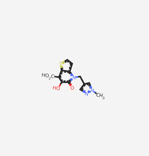 Cn1cc(Cn2c(=O)c(O)c(C(=O)O)c3sccc32)cn1